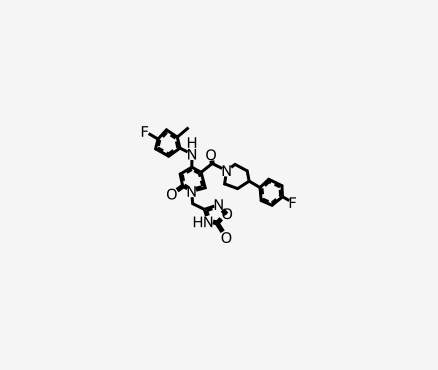 Cc1cc(F)ccc1Nc1cc(=O)n(Cc2noc(=O)[nH]2)cc1C(=O)N1CCC(c2ccc(F)cc2)CC1